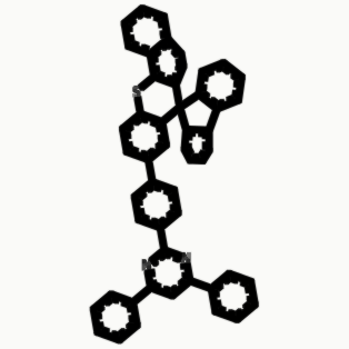 c1ccc(-c2cc(-c3ccccc3)nc(-c3ccc(-c4ccc5c(c4)C4(c6ccccc6-c6ccccc64)c4ccc6ccccc6c4S5)cc3)n2)cc1